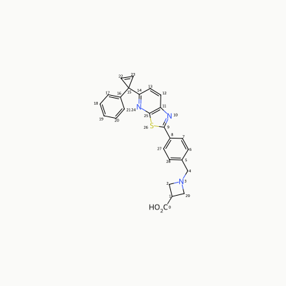 O=C(O)C1CN(Cc2ccc(-c3nc4ccc(C5(c6ccccc6)C=C5)nc4s3)cc2)C1